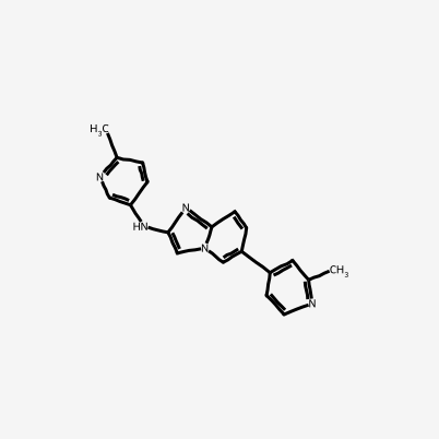 Cc1ccc(Nc2cn3cc(-c4ccnc(C)c4)ccc3n2)cn1